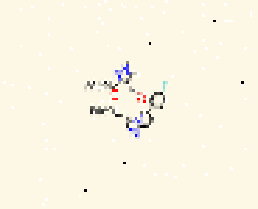 CNCCc1cnc2ccc(-c3ccc(F)cc3OCCc3c(C(=O)NC)nn(C)c3C)cn12